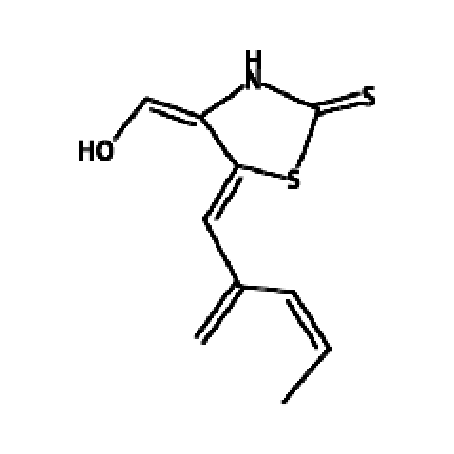 C=C(/C=C\C)/C=c1\sc(=S)[nH]\c1=C\O